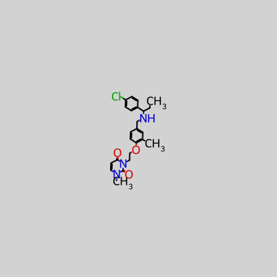 CCC(NCc1ccc(OCCn2c(=O)ccn(C)c2=O)c(C)c1)c1ccc(Cl)cc1